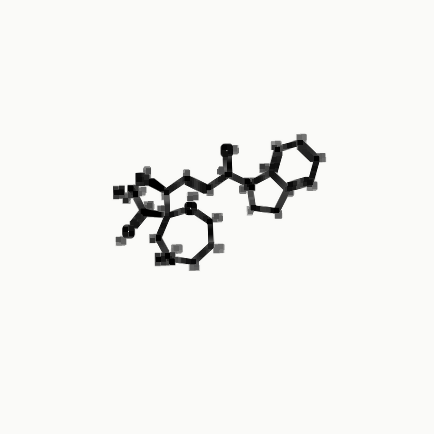 CC[C@@H](C=CC(=O)N1CCc2ccccc21)[C@@]1(C(N)=O)CNCCCO1